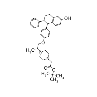 C[C@H](COc1ccc([C@@H]2c3ccc(O)cc3CC[C@@H]2c2c#cccc2)cc1)N1CCN(CC(=O)OC(C)(C)C)CC1